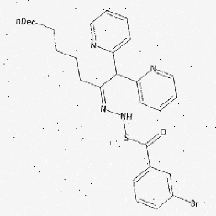 CCCCCCCCCCCCCCC(=NNSC(=O)c1cccc(Br)c1)C(c1ccccn1)c1ccccn1